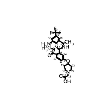 CC(Nc1nn(C)c(=O)c2ccc(OC3CCN(CC(=O)O)CC3)cc12)c1cc(N)cc(C(F)(F)F)c1